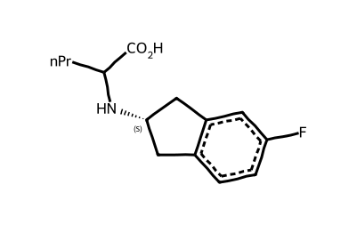 CCCC(N[C@H]1Cc2ccc(F)cc2C1)C(=O)O